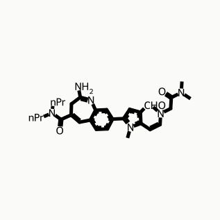 CCCN(CCC)C(=O)C1=Cc2ccc(-c3cc(C=O)c(/C=C\N(C)CC(=O)N(C)C)n3C)cc2N=C(N)C1